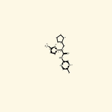 Cc1cnc(NC(=O)[C@H](CC2CCCC2)n2ccc(C(F)(F)F)n2)cn1